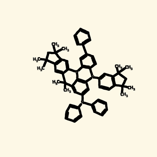 CC1(C)CC(C)(C)c2cc(N3c4ccc(-c5ccccc5)cc4B4c5cc6c(cc5C(C)(C)c5cc(N(c7ccccc7)c7ccccc7)cc3c54)C(C)(C)CC6(C)C)ccc21